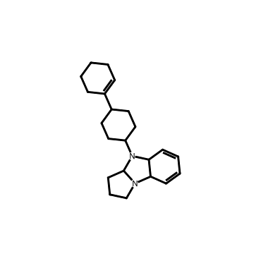 C1=CC2C(C=C1)N(C1CCC(C3=CCCCC3)CC1)C1CCCN21